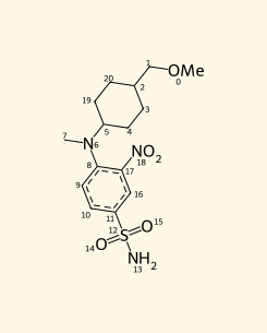 COCC1CCC(N(C)c2ccc(S(N)(=O)=O)cc2[N+](=O)[O-])CC1